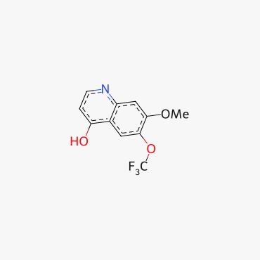 COc1cc2nccc(O)c2cc1OC(F)(F)F